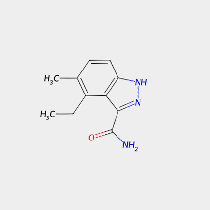 CCc1c(C)ccc2[nH]nc(C(N)=O)c12